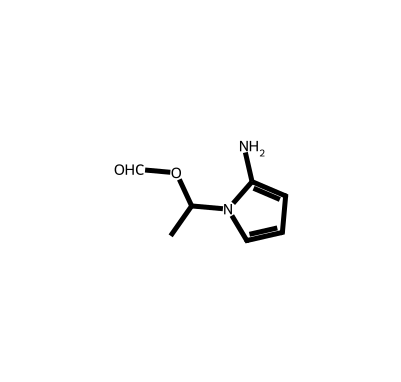 CC(OC=O)n1cccc1N